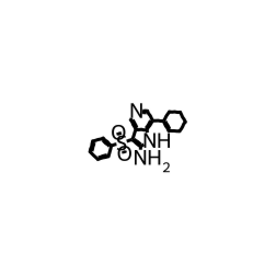 Nc1[nH]c2c(C3=CCCCC3)cncc2c1S(=O)(=O)c1ccccc1